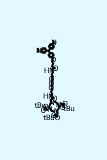 CN(C)c1ccc(C(c2ccc(OCCCC(=O)NCCCOCOCOCCCNC(=O)CN3CCN(CC(=O)OC(C)(C)C)CCN(CC(=O)OC(C)(C)C)CCN(CC(=O)OC(C)(C)C)CC3)cc2)c2ccc(N(C)C)cc2)cc1